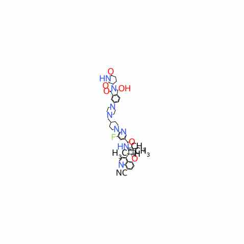 CC1(C)[C@H](NC(=O)c2cnc(N3CCC(CN4CCN(c5ccc6c(c5)C(=O)N(C5CCC(=O)NC5=O)C6O)CC4)CC3)c(F)c2)C2(C)c3ccnc4c(C#N)ccc(c34)O[C@@H]12